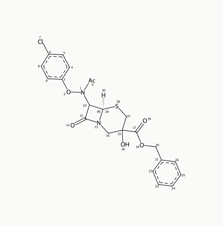 CC(=O)N(Oc1ccc(Cl)cc1)C1C(=O)N2CC(O)(C(=O)OCc3ccccc3)CS[C@H]12